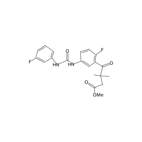 COC(=O)CC(C)(C)C(=O)c1cc(NC(=O)Nc2cccc(F)c2)ccc1F